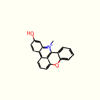 C[n+]1c2c3c(cccc3c3ccc(O)cc31)Oc1ccccc1-2